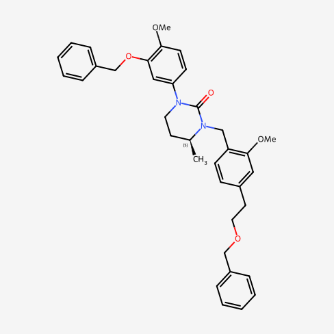 COc1cc(CCOCc2ccccc2)ccc1CN1C(=O)N(c2ccc(OC)c(OCc3ccccc3)c2)CC[C@@H]1C